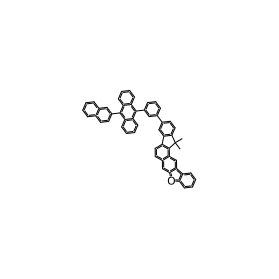 CC1(C)c2ccc(-c3cccc(-c4c5ccccc5c(-c5ccc6ccccc6c5)c5ccccc45)c3)cc2-c2ccc3cc4oc5ccccc5c4cc3c21